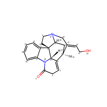 O=C1CC=C2[C@H]3C[C@@H]4N(CC[C@@]45c4ccccc4N1[C@@H]25)C/C3=C/CO